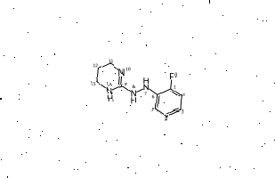 Fc1ccccc1NNC1=NCCCN1